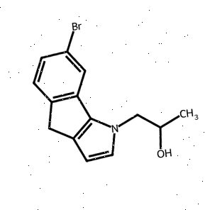 CC(O)Cn1ccc2c1-c1cc(Br)ccc1C2